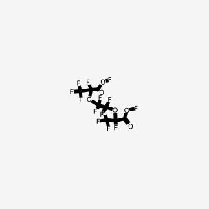 O=C(OF)C(F)(OC(F)(F)C(F)(F)OC(F)(C(=O)OF)C(F)(F)F)C(F)(F)F